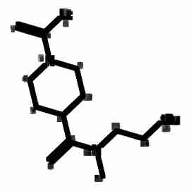 C=C(C1CCN(C(=C)CC)CC1)N(C)CCC(C)(C)C